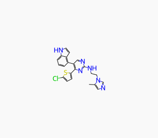 Cc1cncn1CCNc1ncc(-c2cccc3[nH]ccc23)c(-c2ccc(Cl)s2)n1